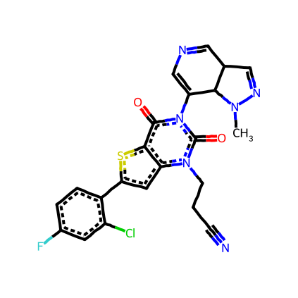 CN1N=CC2C=NC=C(n3c(=O)c4sc(-c5ccc(F)cc5Cl)cc4n(CCC#N)c3=O)C21